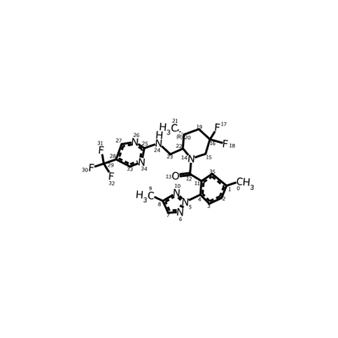 Cc1ccc(-n2ncc(C)n2)c(C(=O)N2CC(F)(F)C[C@@H](C)C2CNc2ncc(C(F)(F)F)cn2)c1